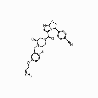 C=CCOc1ccc(Br)c(CN2CCN(C(=O)c3cnc4n3C(c3ccc(C#N)cc3)CS4)CC2=O)c1